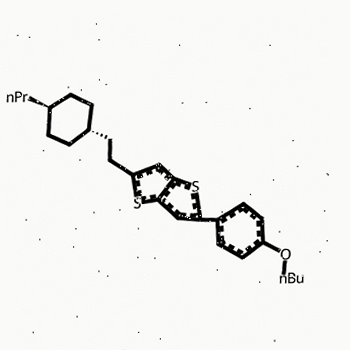 CCCCOc1ccc(-c2cc3sc(CC[C@H]4CC[C@H](CCC)CC4)cc3s2)cc1